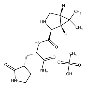 CC1(C)[C@@H]2[C@@H](C(=O)N[C@@H](C[C@@H]3CCNC3=O)C(N)=O)NC[C@@H]21.CS(=O)(=O)O